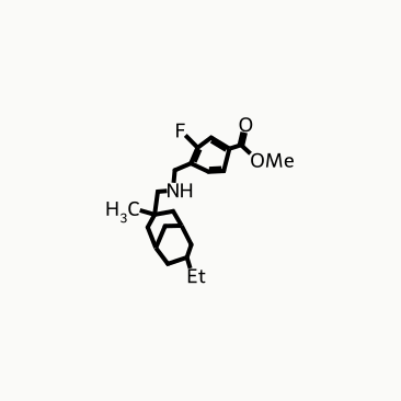 CCC1CC2CC(C1)CC(C)(CNCc1ccc(C(=O)OC)cc1F)C2